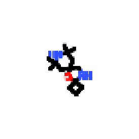 CC1(C)CC2(CNC3(CCC3)O2)CC(C)(C)N1